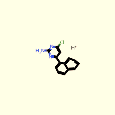 Nc1nc(Cl)cc(-c2cccc3ccccc23)n1.[H+]